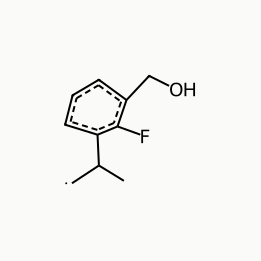 [CH2]C(C)c1cccc(CO)c1F